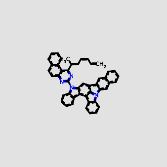 C=C/C=C\C=C(/C)c1nc(-n2c3ccccc3c3c4c5ccccc5n5c6cc7ccccc7cc6c(cc32)c45)nc2ccc3ccccc3c12